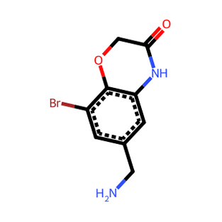 NCc1cc(Br)c2c(c1)NC(=O)CO2